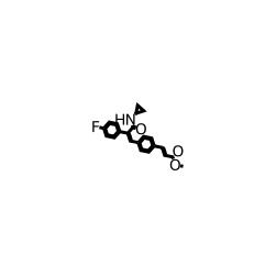 COC(=O)C=Cc1ccc(C=C(C(=O)NC2CC2)c2ccc(F)cc2)cc1